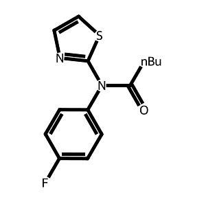 CCCCC(=O)N(c1ccc(F)cc1)c1nccs1